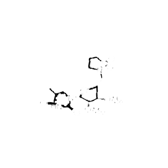 CO[C@@H]1[C@H](OC)[C@@H](CN2CCCS2(=O)=O)O[C@H]1n1cc(C)c(=O)[nH]c1=O